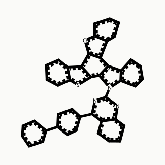 c1ccc(-c2ccc(-c3nc(-n4c5ccccc5c5c6c7ccccc7oc6c6c7ccccc7sc6c54)nc4ccccc34)cc2)cc1